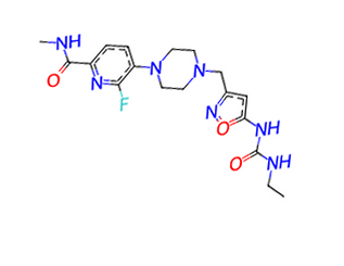 CCNC(=O)Nc1cc(CN2CCN(c3ccc(C(=O)NC)nc3F)CC2)no1